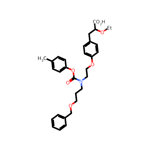 CCOC(Cc1ccc(OCCN(CCCOCc2ccccc2)C(=O)Oc2ccc(C)cc2)cc1)C(=O)O